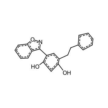 Oc1cc(O)c(-c2noc3ccccc23)cc1CCc1ccccc1